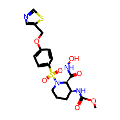 COC(=O)N[C@H]1CCCN(S(=O)(=O)c2ccc(OCc3cncs3)cc2)[C@H]1C(=O)NO